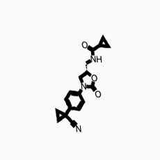 N#CC1(c2ccc(N3C[C@H](CNC(=O)C4CC4)OC3=O)cc2)CC1